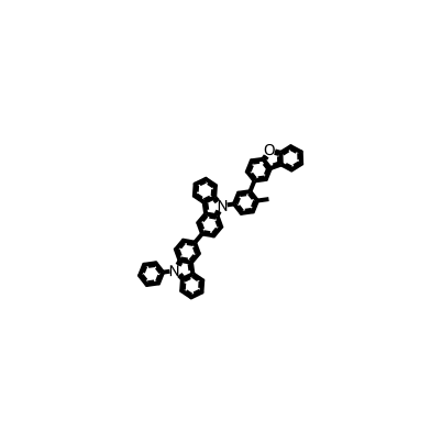 Cc1ccc(-n2c3ccccc3c3cc(-c4ccc5c(c4)c4ccccc4n5-c4ccccc4)ccc32)cc1-c1ccc2oc3ccccc3c2c1